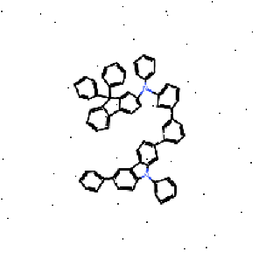 c1ccc(-c2ccc3c(c2)c2ccc(-c4cccc(-c5cccc(N(c6ccccc6)c6ccc7c(c6)C(c6ccccc6)(c6ccccc6)c6ccccc6-7)c5)c4)cc2n3-c2ccccc2)cc1